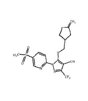 C=C1CCC(COc2c(C#N)c(C(F)(F)F)nn2-c2ccc(S(C)(=O)=O)cn2)C1